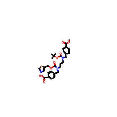 COC(=O)c1ccc(CN(CCCN(Cc2ccc(C(=O)O)cc2)C(=O)OCc2cncs2)C(=O)OC(C)(C)C)cc1